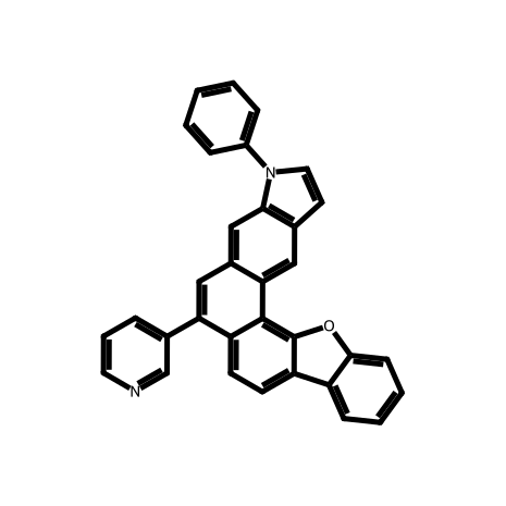 c1ccc(-n2ccc3cc4c(cc(-c5cccnc5)c5ccc6c7ccccc7oc6c54)cc32)cc1